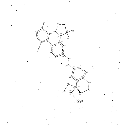 Cc1ccc(F)c(-c2ccc(COc3ccc4c(c3)[C@@]3(CCC4)CC[C@H]3C(=O)O)cc2[C@@H]2CCCC2(C)C)c1